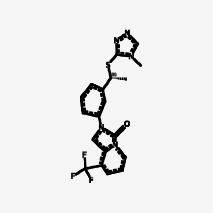 C[C@@H](Sc1nncn1C)c1cccc(-n2cc3c(C(F)(F)F)cccn3c2=O)c1